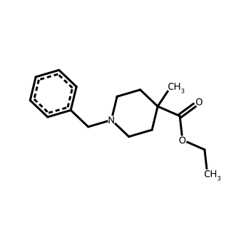 CCOC(=O)C1(C)CCN(Cc2ccccc2)CC1